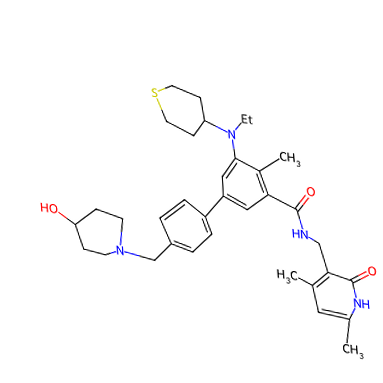 CCN(c1cc(-c2ccc(CN3CCC(O)CC3)cc2)cc(C(=O)NCc2c(C)cc(C)[nH]c2=O)c1C)C1CCSCC1